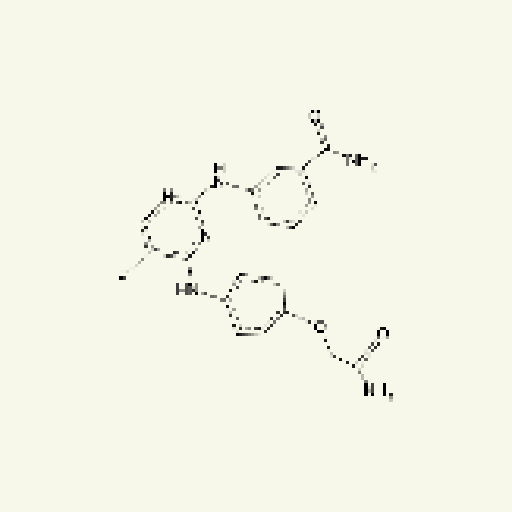 NC(=O)COc1ccc(Nc2nc(Nc3cccc(C(N)=O)c3)ncc2F)cc1